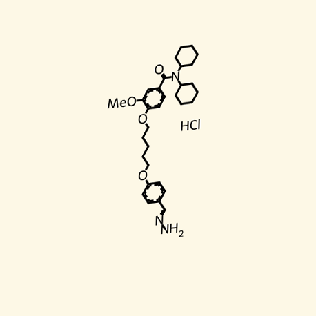 COc1cc(C(=O)N(C2CCCCC2)C2CCCCC2)ccc1OCCCCCOc1ccc(C=NN)cc1.Cl